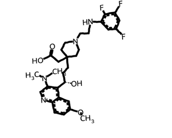 COc1ccc2ncc(N(C)C)c([C@@H](O)CCC3(CC(=O)O)CCN(CCNc4cc(F)cc(F)c4F)CC3)c2c1